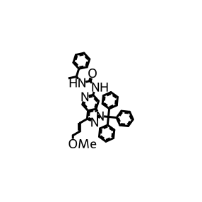 COC/C=C/c1nn(C(c2ccccc2)(c2ccccc2)c2ccccc2)c2cc(NC(=O)NC(C)c3ccccc3)ncc12